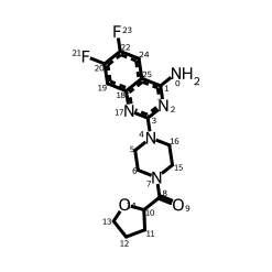 Nc1nc(N2CCN(C(=O)C3CCCO3)CC2)nc2cc(F)c(F)cc12